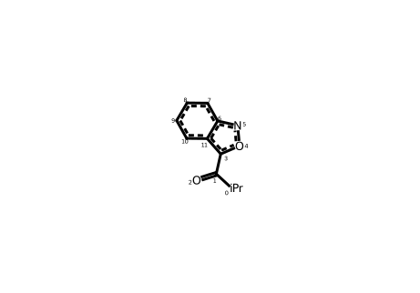 CC(C)C(=O)c1onc2ccccc12